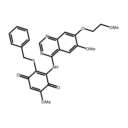 COCCOc1cc2ncnc(NC3=C(SCc4ccccc4)C(=O)C=C(OC)C3=O)c2cc1OC